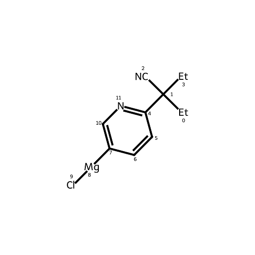 CCC(C#N)(CC)c1cc[c]([Mg][Cl])cn1